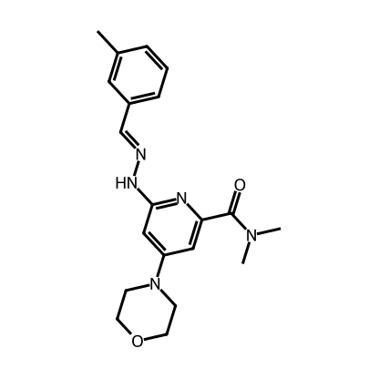 Cc1cccc(/C=N/Nc2cc(N3CCOCC3)cc(C(=O)N(C)C)n2)c1